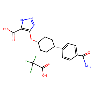 NC(=O)c1ccc([C@H]2CC[C@@H](Oc3nn[nH]c3C(=O)O)CC2)cc1.O=C(O)C(F)(F)F